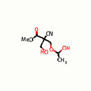 COC(=O)C(C#N)(CO)COC(C)O